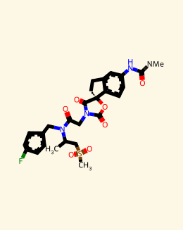 CNC(=O)Nc1ccc2c(c1)CC[C@@]21OC(=O)N(CC(=O)N(Cc2ccc(F)cc2)C(C)CS(C)(=O)=O)C1=O